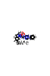 COc1ccc2c(c1)N(C(=O)CN1CCN(c3ccccc3)CC1)C(C)C2